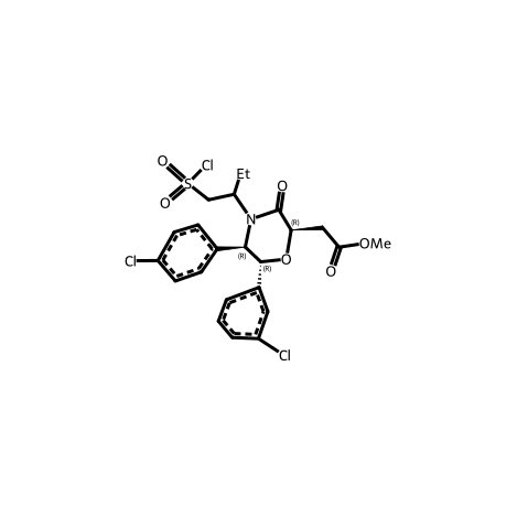 CCC(CS(=O)(=O)Cl)N1C(=O)[C@@H](CC(=O)OC)O[C@H](c2cccc(Cl)c2)[C@H]1c1ccc(Cl)cc1